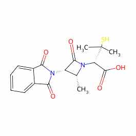 C[C@@H]1[C@H](N2C(=O)c3ccccc3C2=O)C(=O)N1[C@@H](C(=O)O)C(C)(C)S